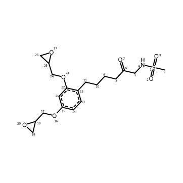 CS(=O)(=O)NCC(=O)CCCCc1ccc(OCC2CO2)cc1OCC1CO1